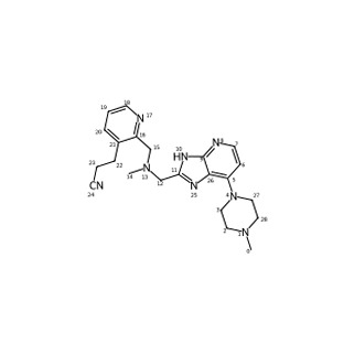 CN1CCN(c2ccnc3[nH]c(CN(C)Cc4ncccc4CCC#N)nc23)CC1